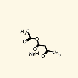 CC(=O)CC(=O)OC(C)=O.[NaH]